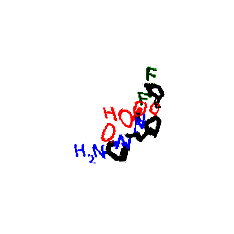 Nc1cccn(Cc2cc3cccc(OCc4ccc(F)cc4F)c3n2C(=O)O)c1=O